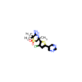 CC1(C)C(=N)N[C@](C)(c2sc(-c3cncnc3)cc2Cl)CS1(=O)=O